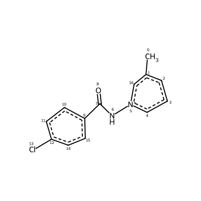 Cc1ccc[n+](NC(=O)c2ccc(Cl)cc2)c1